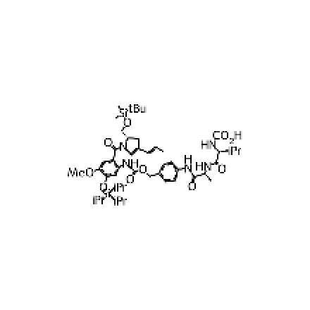 C/C=C/C1=CN(C(=O)c2cc(OC)c(O[Si](C(C)C)(C(C)C)C(C)C)cc2NC(=O)OCc2ccc(NC(=O)[C@H](C)NC(=O)[C@@H](NC(=O)O)C(C)C)cc2)[C@H](CO[Si](C)(C)C(C)(C)C)C1